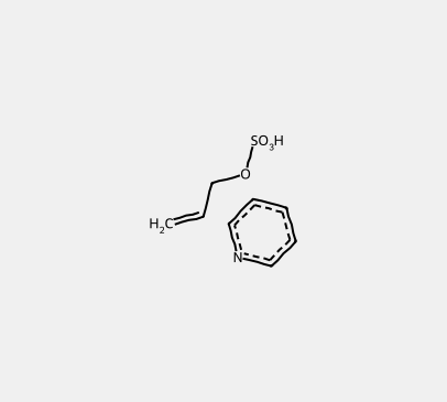 C=CCOS(=O)(=O)O.c1ccncc1